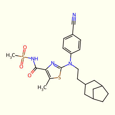 Cc1sc(N(CCC2CC3CCC(C3)C2)c2ccc(C#N)cc2)nc1C(=O)NS(C)(=O)=O